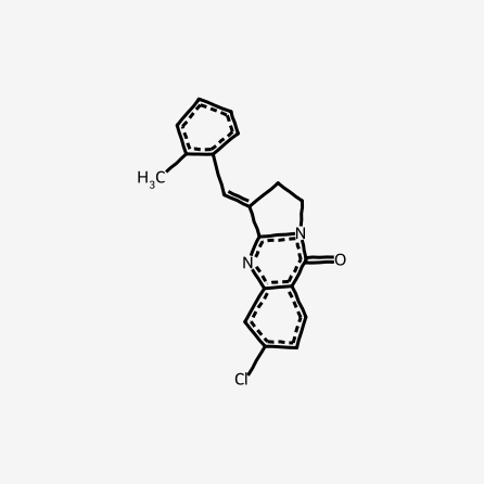 Cc1ccccc1C=C1CCn2c1nc1cc(Cl)ccc1c2=O